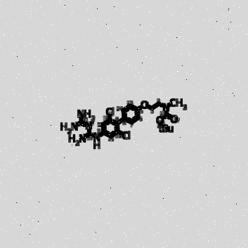 CN(CCOc1ccc(-c2c(Cl)cc(NC(N)N=C(N)N)cc2Cl)cc1)C(=O)OC(C)(C)C